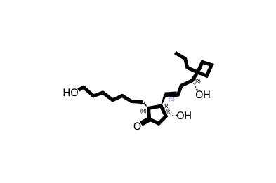 CCCC1([C@H](O)C/C=C/[C@H]2[C@H](O)CC(=O)[C@@H]2CCCCCCCO)CCC1